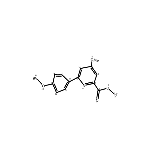 COc1cc(C(=O)OC(C)C)nc(-c2ccc(OC(C)C)cc2)c1